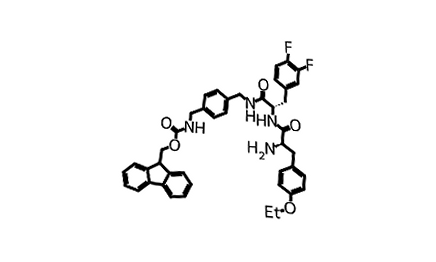 CCOc1ccc(C[C@@H](N)C(=O)N[C@@H](Cc2ccc(F)c(F)c2)C(=O)NCc2ccc(CNC(=O)OCC3c4ccccc4-c4ccccc43)cc2)cc1